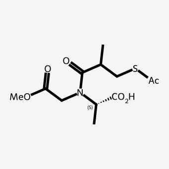 COC(=O)CN(C(=O)C(C)CSC(C)=O)[C@@H](C)C(=O)O